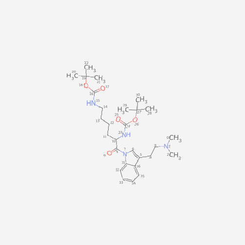 CN(C)CCc1cn(C(=O)C(CCCCNC(=O)OC(C)(C)C)NC(=O)OC(C)(C)C)c2ccccc12